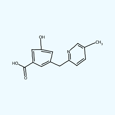 Cc1ccc(Cc2cc(O)cc(C(=O)O)c2)nc1